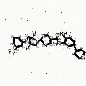 Nc1ccc(-c2ccncc2)cc1NC(=O)c1cnc(N2C[C@@H]3C[C@H]2CN3c2cccc(C(F)(F)F)c2)nc1